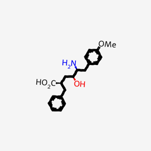 COc1ccc(C[C@H](N)[C@@H](O)C[C@@H](Cc2ccccc2)C(=O)O)cc1